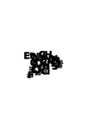 CCNC(=O)C1=C(C)NC(c2nccs2)=N[C@H]1c1ccc(F)cc1Cl